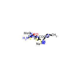 C=CCN1CCN(CCCn2nnnc2SCC2=C(C(=O)[O-])N3C(=O)C(NC(=O)/C(=N/OC)c4csc(N)n4)[C@H]3SC2)CC1.[Na+]